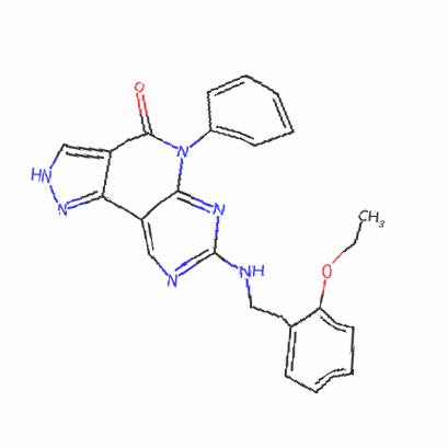 CCOc1ccccc1CNc1ncc2c3n[nH]cc3c(=O)n(-c3ccccc3)c2n1